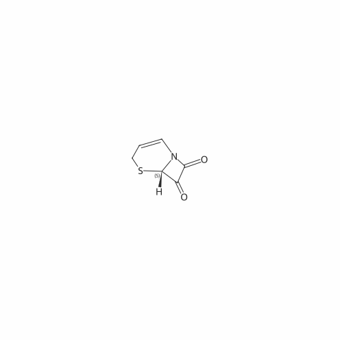 O=C1C(=O)N2C=CCS[C@@H]12